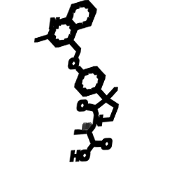 Cc1cc(COc2ccc(C3(C)CCN([C@H](C)C(=O)O)C3=O)cc2)c2ccccc2n1